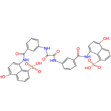 O=C(Nc1cccc(C(=O)Nc2ccc(O)c3cccc(S(=O)(=O)O)c23)c1)C(=O)Nc1cccc(C(=O)Nc2ccc(O)c3cccc(S(=O)(=O)O)c23)c1